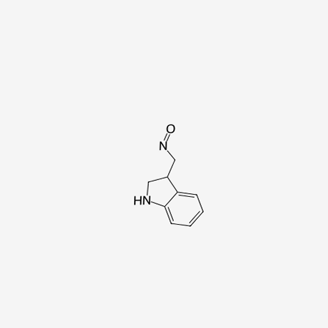 O=NCC1CNc2ccccc21